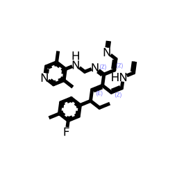 C=CN\C=C/C(=C\C(CC)c1ccc(C)c(F)c1)C(/C=C\N=C)=N\CNc1c(C)cncc1C